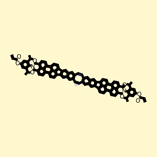 C=CC(=O)Oc1cc(C(C)C)c(N2C(=O)c3ccc4c5ccc6c7c(ccc(c8ccc(c3c48)C2=O)c75)-c2cc3cc4c(cc3cc2-6)/C=C\c2cc3cc5c(cc3cc2/C=C\4)-c2ccc3c4ccc6c7c(ccc(c8ccc-5c2c83)c74)C(=O)N(c2c(C(C)C)cc(OC(=O)C=C)cc2C(C)C)C6=O)c(C(C)C)c1